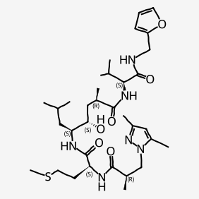 CSCC[C@H](NC(=O)[C@H](C)Cn1nc(C)cc1C)C(=O)N[C@@H](CC(C)C)[C@@H](O)C[C@@H](C)C(=O)N[C@H](C(=O)NCc1ccco1)C(C)C